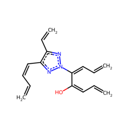 C=C/C=C\c1nn(C(=C/C=C)/C(O)=C\C=C)nc1C=C